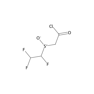 O=C(Cl)C[S+]([O-])C(F)C(F)F